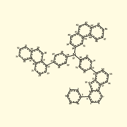 c1ccc(-c2cccc3c2sc2c(-c4ccc(N(c5ccc(-c6cccc7c6ccc6ccccc67)cc5)c5ccc6ccc7ccccc7c6c5)cc4)cccc23)cc1